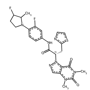 CC1C(F)CCN1c1ccc(NC(=O)[C@H](Cc2nccs2)n2ncc3c2c(=O)n(C)c(=O)n3C)cc1F